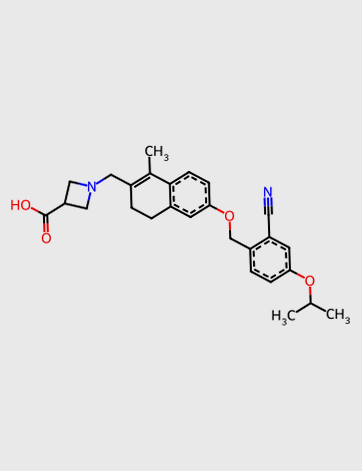 CC1=C(CN2CC(C(=O)O)C2)CCc2cc(OCc3ccc(OC(C)C)cc3C#N)ccc21